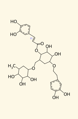 CC1CC(OCC2CC(OCCc3ccc(O)c(O)c3)C(O)C(O)C2OC(=O)/C=C/c2ccc(O)c(O)c2)C(O)C(O)C1O